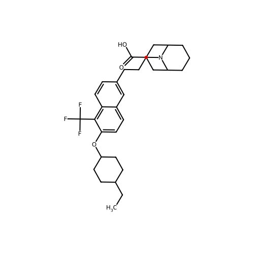 CCC1CCC(Oc2ccc3cc(CCCN4C5CCCC4CC(C(=O)O)C5)ccc3c2C(F)(F)F)CC1